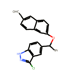 CC(C)C(Oc1ccc2cc(C=O)ccc2c1)c1ccc2[nH]nc(Cl)c2c1